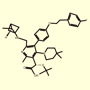 Cc1nc(CNC23CC(C2)[C@H]3C)c(-c2ccc(OCCc3ccc(F)cc3)cc2)c(N2CCC(C)(C)CC2)c1[C@H](OC(C)(C)C)C(=O)O